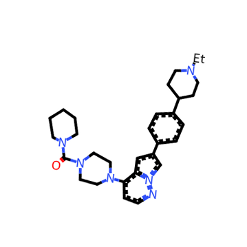 CCN1CCC(c2ccc(-c3cc4c(N5CCN(C(=O)N6CCCCC6)CC5)ccnn4c3)cc2)CC1